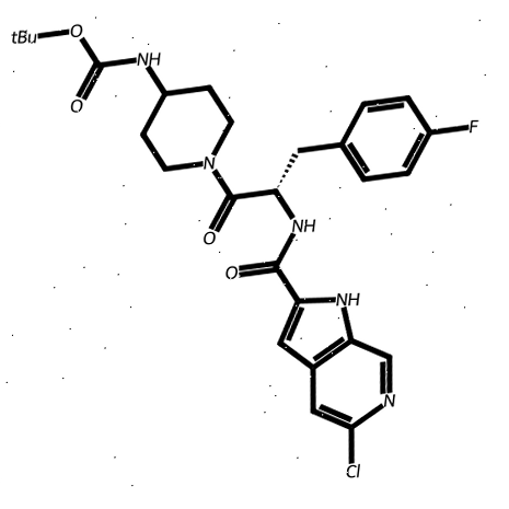 CC(C)(C)OC(=O)NC1CCN(C(=O)[C@H](Cc2ccc(F)cc2)NC(=O)c2cc3cc(Cl)ncc3[nH]2)CC1